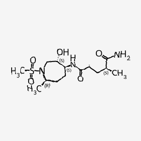 C[C@@H]1CC[C@H](NC(=O)[CH]C[C@H](C)C(N)=O)[C@@H](O)CN1S(C)(=O)=O